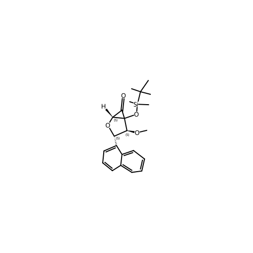 CO[C@H]1[C@H](c2cccc3ccccc23)O[C@@H]2C(=O)C21O[Si](C)(C)C(C)(C)C